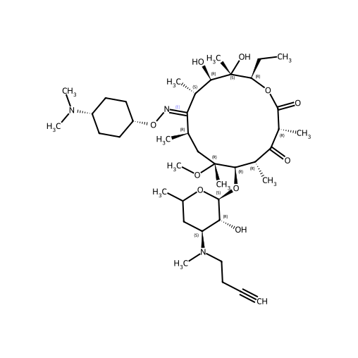 C#CCCN(C)[C@H]1CC(C)O[C@@H](O[C@@H]2[C@@H](C)C(=O)[C@@H](C)C(=O)O[C@H](CC)[C@@](C)(O)[C@H](O)[C@@H](C)/C(=N/O[C@H]3CC[C@@H](N(C)C)CC3)[C@H](C)C[C@@]2(C)OC)[C@@H]1O